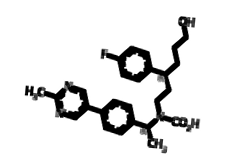 Cc1ncc(-c2ccc([C@H](C)N(CC[C@H](CCCO)c3ccc(F)cc3)C(=O)O)cc2)cn1